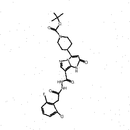 CC(C)(C)OC(=O)N1CCC(c2cc(=O)[nH]c3c(C(=O)NNC(=O)Cc4c(F)cccc4Cl)cnn23)CC1